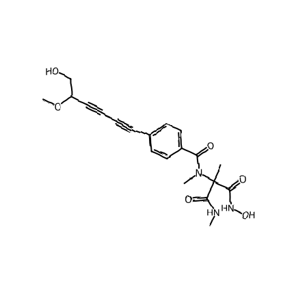 CNC(=O)C(C)(C(=O)NO)N(C)C(=O)c1ccc(C#CC#CC(CO)OC)cc1